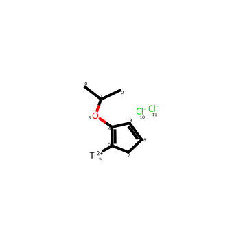 CC(C)OC1=[C]([Ti+2])CC=C1.[Cl-].[Cl-]